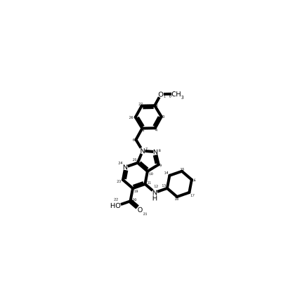 COc1ccc(Cn2ncc3c(NC4CCCCC4)c(C(=O)O)cnc32)cc1